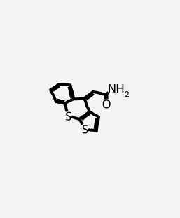 NC(=O)C=C1c2ccccc2Sc2sccc21